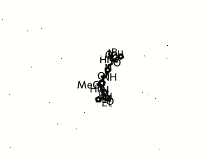 CC[C@@H]1C(=O)N(C)c2cnc(Nc3ccc(C(=O)NC4C5CN(CCC(NC(=O)OC(C)(C)C)C(=O)OC6CCCC6)CC54)cc3OC)nc2N1C1CCCC1